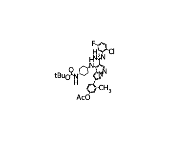 CC(=O)Oc1ccc(-c2cc3c(N[C@H]4CC[C@H](NC(=O)OC(C)(C)C)CC4)c(C(N)=Nc4cc(F)ccc4Cl)cnn3c2)c(C)c1